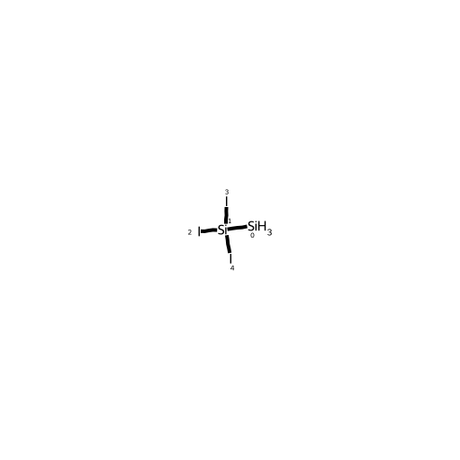 [SiH3][Si](I)(I)I